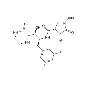 CCCCN1CC(C(=O)N[C@@H](Cc2cc(F)cc(F)c2)[C@H](O)[C@@H]2NCCNC2=O)C(CCC)C1=O